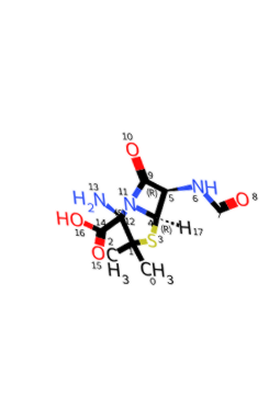 CC1(C)S[C@@H]2[C@H](NC=O)C(=O)N2[C@@]1(N)C(=O)O